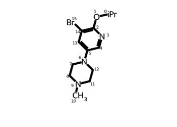 CC(C)Oc1ncc(N2CCN(C)CC2)cc1Br